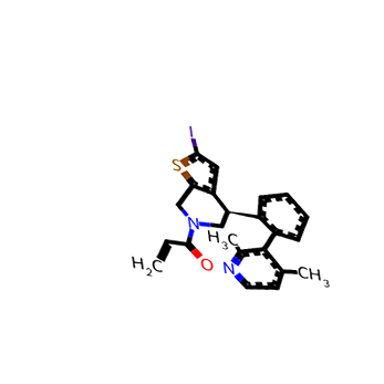 C=CC(=O)N1Cc2sc(I)cc2[C@@H](c2ccccc2-c2c(C)ccnc2C)C1